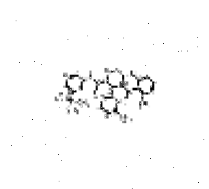 Cc1cccc(F)c1C(=O)N1CCCC(C(=O)Nc2cccc(C(C)(C)C)c2)[C@@H]1c1cccc(N)c1